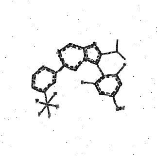 CC(C)c1nc2cnc(-c3cccc(S(F)(F)(F)(F)F)c3)cn2c1-c1c(F)cc(O)cc1F